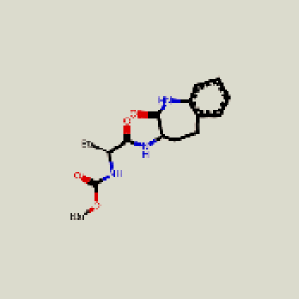 CC[C@H](NC(=O)OC(C)(C)C)C(=O)NC1CCc2ccccc2NC1=O